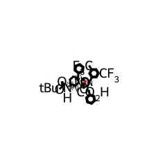 C[C@@H](OC[C@@]1(c2ccccc2)CC[C@H](NC(=O)OC(C)(C)C)[C@@H](CC(=O)O)N1C(=O)OCc1ccccc1)c1cc(C(F)(F)F)cc(C(F)(F)F)c1